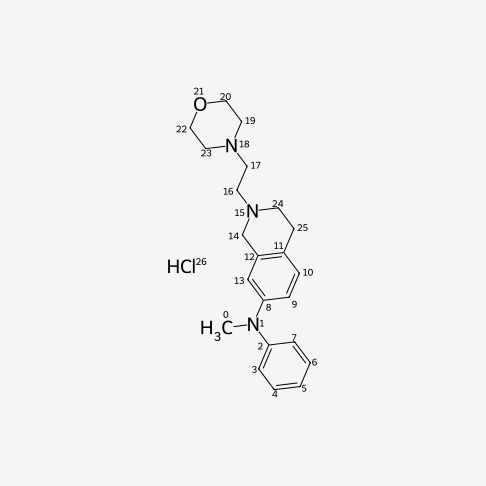 CN(c1ccccc1)c1ccc2c(c1)CN(CCN1CCOCC1)CC2.Cl